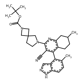 Cc1ccc2[nH]ncc2c1-c1c(C#N)c(N2CCC3(CN(C(=O)OC(C)(C)C)C3)C2)nc2c1CCC(C)C2